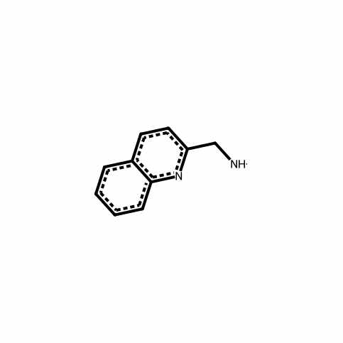 [NH]Cc1ccc2ccccc2n1